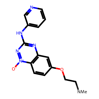 CNCCOc1ccc2c(c1)nc(Nc1cccnc1)n[n+]2[O-]